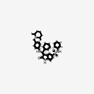 CC1CCCC(C)N1Cc1ccc(N/C(=C2\C(=O)Nc3ccc(S(=O)(=O)Nc4ccccc4)cc32)c2ccccc2)cc1